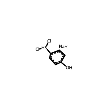 Oc1ccc([SH](Cl)Cl)cc1.[NaH]